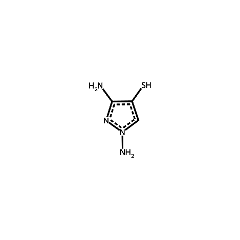 Nc1nn(N)cc1S